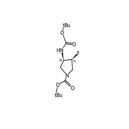 CC(C)(C)OC(=O)N[C@@H]1CN(C(=O)OC(C)(C)C)C[C@@H]1F